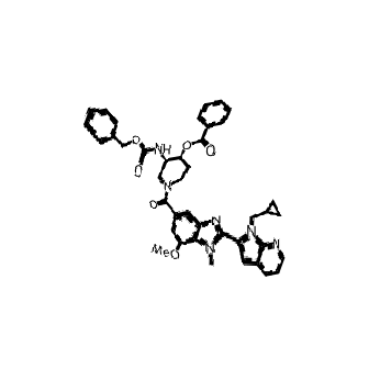 COc1cc(C(=O)N2CC[C@H](OC(=O)c3ccccc3)[C@H](NC(=O)OCc3ccccc3)C2)cc2nc(-c3cc4cccnc4n3CC3CC3)n(C)c12